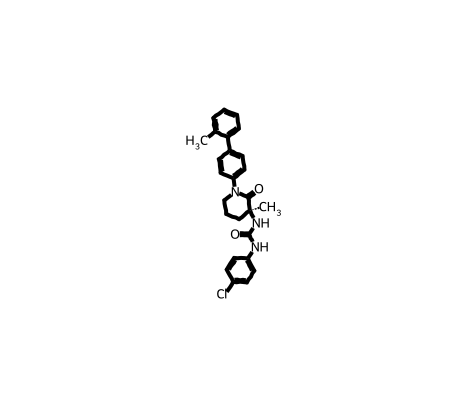 Cc1ccccc1-c1ccc(N2CCC[C@](C)(NC(=O)Nc3ccc(Cl)cc3)C2=O)cc1